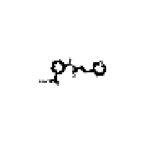 COC(=O)c1cccc(NC(=O)C=Cc2cccnc2)c1